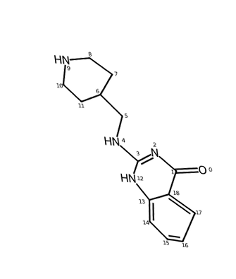 O=c1nc(NCC2CCNCC2)[nH]c2ccccc12